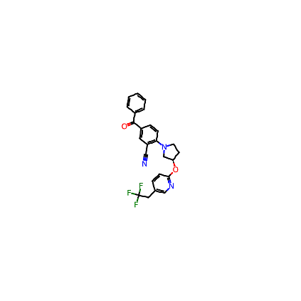 N#Cc1cc(C(=O)c2ccccc2)ccc1N1CC[C@@H](Oc2ccc(CC(F)(F)F)cn2)C1